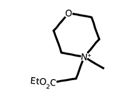 CCOC(=O)C[N+]1(C)CCOCC1